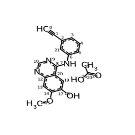 C#Cc1cccc(Nc2ncnc3cc(OC)c(O)cc23)c1.CC(=O)O